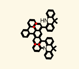 CC1(C)c2ccccc2Nc2c(-c3cccc4c(-c5ccccc5-c5ccccc5)c5cccc(-c6cccc7c6N(c6ccccc6)c6ccccc6C7(C)C)c5cc34)cccc21